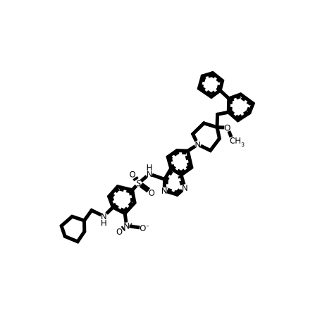 COC1(Cc2ccccc2-c2ccccc2)CCN(c2ccc3c(NS(=O)(=O)c4ccc(NCC5CCCCC5)c([N+](=O)[O-])c4)ncnc3c2)CC1